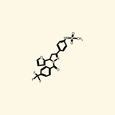 CS(=O)(=O)Nc1ccc(C2=NN(C(=O)c3ccc(C(F)(F)F)cc3)C(c3ccco3)C2)cc1